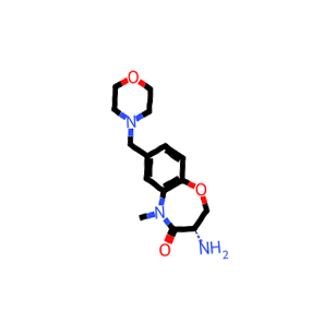 CN1C(=O)[C@@H](N)COc2ccc(CN3CCOCC3)cc21